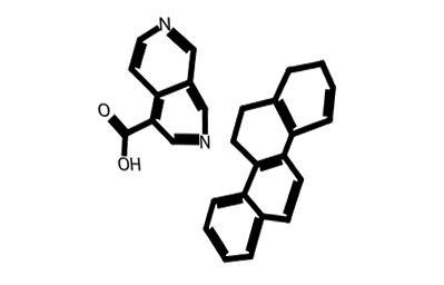 C1=CC2=C(CC1)CCc1c2ccc2ccccc12.O=C(O)c1cncc2cnccc12